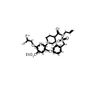 C=CCN(C(=O)C1CCN(c2nc(OCC(F)F)c(C(=O)OCC)cc2C#N)CC1)S(=O)(=O)Cc1ccccc1